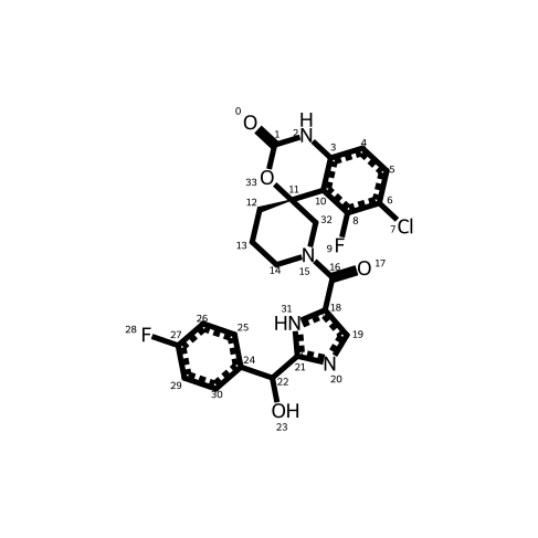 O=C1Nc2ccc(Cl)c(F)c2[C@@]2(CCCN(C(=O)c3cnc(C(O)c4ccc(F)cc4)[nH]3)C2)O1